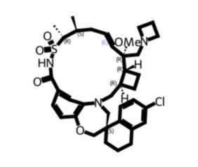 CO[C@@]1(CN2CCC2)/C=C/C[C@H](C)[C@@H](C)S(=O)(=O)NC(=O)c2ccc3c(c2)N(C[C@@H]2CC[C@H]21)C[C@@]1(CCCc2cc(Cl)ccc21)CO3